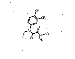 CCCN(C)C(=O)C(CC)[As](CC(F)(F)F)c1ccc(C#N)c(C(F)(F)F)c1